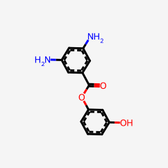 Nc1cc(N)cc(C(=O)Oc2cccc(O)c2)c1